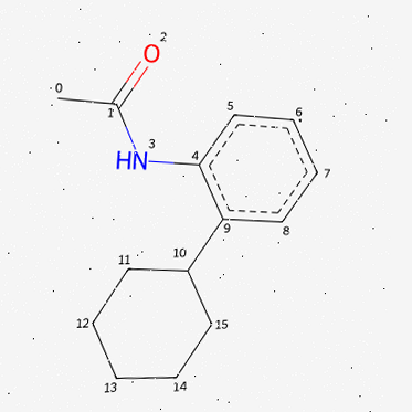 CC(=O)Nc1c[c]ccc1C1CCCCC1